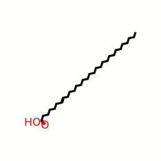 CCCCCCCCCCCCCCCCCCCCCCC=CCCCCCC(=O)O